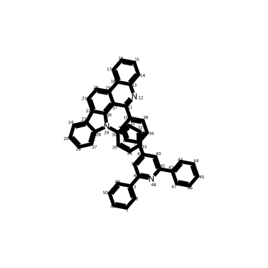 c1ccc(-c2cc(-c3ccc(-c4nc5ccccc5c5ccc6c7ccccc7n(-c7ccccc7)c6c45)cc3)cc(-c3ccccc3)n2)cc1